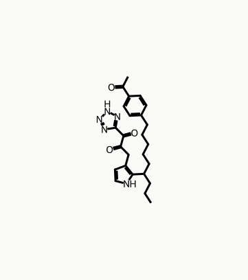 CCCC(CCCCCc1ccc(C(C)=O)cc1)c1[nH]ccc1CC(=O)C(=O)c1nn[nH]n1